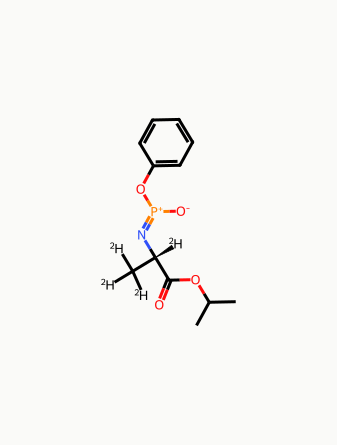 [2H]C([2H])([2H])[C@]([2H])(N=[P+]([O-])Oc1ccccc1)C(=O)OC(C)C